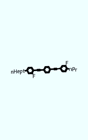 CCCCCCCc1ccc(C#Cc2ccc(C#Cc3ccc(CCC)c(F)c3)cc2)c(F)c1